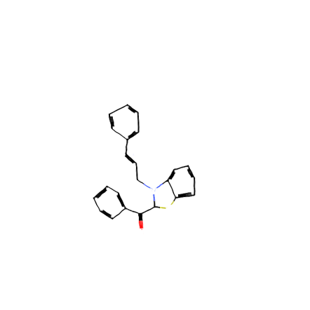 O=C(c1ccccc1)C1Sc2ccccc2N1C/C=C/c1ccccc1